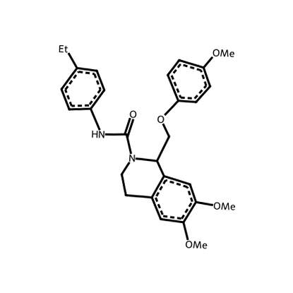 CCc1ccc(NC(=O)N2CCc3cc(OC)c(OC)cc3C2COc2ccc(OC)cc2)cc1